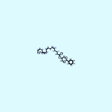 CCCCC/C=C\C/C=C\C/C=C\C/C=C\CCCC(=O)OC1COC(c2ccccc2)OC1